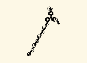 C=CCN1CCN(C(c2ccc(C(C)=O)cc2)c2cccc(OCCOCCOCCOCCOCCOCCOCCOC)c2)CC1